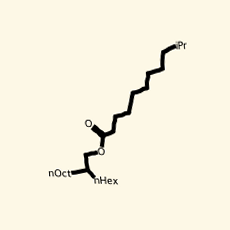 CCCCCCCCC(CCCCCC)COC(=O)CCCCCCCCC(C)C